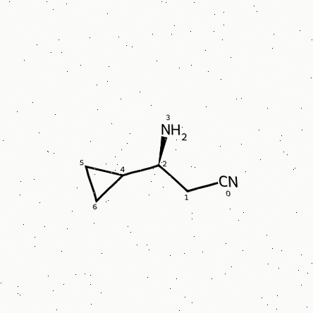 N#CC[C@H](N)C1CC1